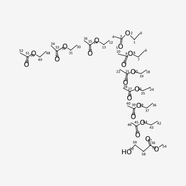 CCOC(C)=O.CCOC(C)=O.CCOC(C)=O.CCOC(C)=O.CCOC(C)=O.CCOC(C)=O.CCOC(C)=O.CCOC(C)=O.CCOC(C)=O.COC(=O)CCO